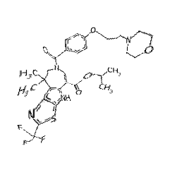 CC(C)OC(=O)C1=CN(C(=O)c2ccc(OCCN3CCOCC3)cc2)CC(C)(C)c2c1[nH]c1sc(C(F)(F)F)nc21